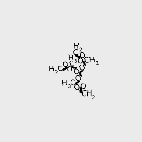 C=CC(=O)OC(C)COCC(COCC(C)OC(=O)C=C)OCC(C)OC(=O)C=C